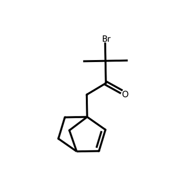 CC(C)(Br)C(=O)CC12C=CC(CC1)C2